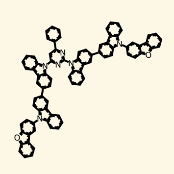 c1ccc(-c2cc(-n3c4ccccc4c4cc(-c5ccc6c(c5)c5ccccc5n6-c5ccc6oc7ccccc7c6c5)ccc43)nc(-n3c4ccccc4c4cc(-c5ccc6c(c5)c5ccccc5n6-c5ccc6oc7ccccc7c6c5)ccc43)n2)cc1